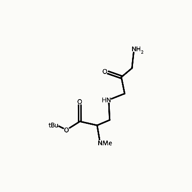 CNC(CNCC(=O)CN)C(=O)OC(C)(C)C